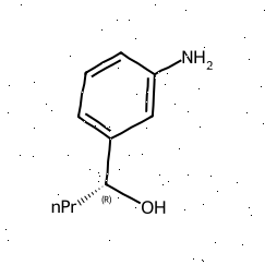 CCC[C@@H](O)c1cccc(N)c1